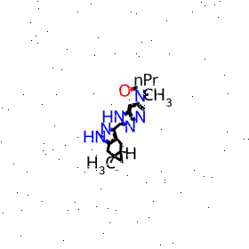 CCCC(=O)N(C)c1cnc2nc(-c3n[nH]c4c3C[C@@H]3C[C@]3(C)C4)[nH]c2c1